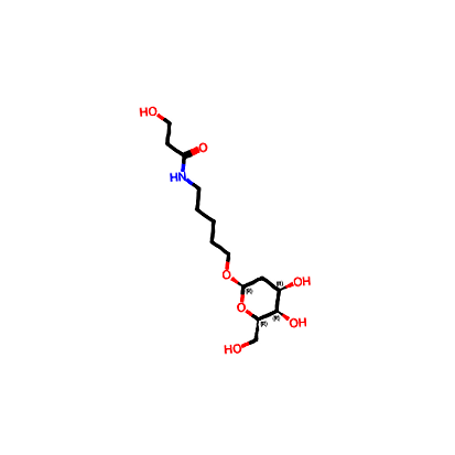 O=C(CCO)NCCCCCO[C@H]1C[C@@H](O)[C@@H](O)[C@@H](CO)O1